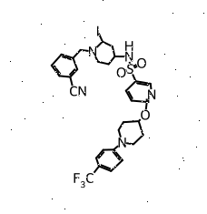 N#Cc1cccc(CN2CCC(NS(=O)(=O)c3ccc(OC4CCN(c5ccc(C(F)(F)F)cc5)CC4)nc3)CC2I)c1